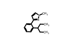 CCC(CC)c1ccccc1-c1ccn(C)n1